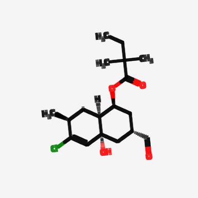 CCC(C)(C)C(=O)O[C@H]1C[C@H](C=O)C[C@@]2(O)C=C(Cl)[C@@H](C)[CH][C@@H]12